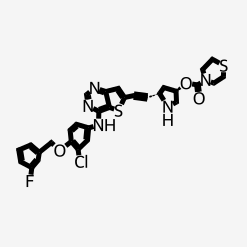 O=C(O[C@H]1CN[C@H](C#Cc2cc3ncnc(Nc4ccc(OCc5cccc(F)c5)c(Cl)c4)c3s2)C1)N1CCSCC1